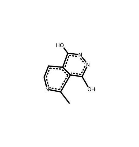 Cc1nccc2c(O)nnc(O)c12